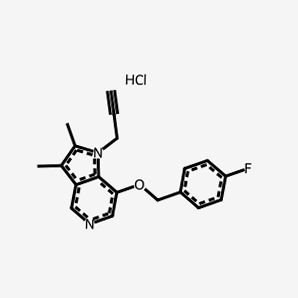 C#CCn1c(C)c(C)c2cncc(OCc3ccc(F)cc3)c21.Cl